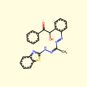 CC(N=Nc1ccccc1C(O)C(=O)c1ccccc1)=NNc1nc2ccccc2s1